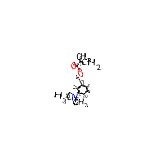 C=C(C)C(=O)OCc1cccc(N(C)C)c1